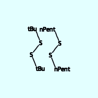 CC(C)(C)SSC(C)(C)C.CCCCCSSCCCCC